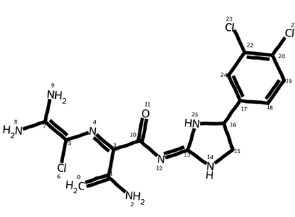 C=C(N)/C(=N\C(Cl)=C(N)N)C(=O)/N=C1/NCC(c2ccc(Cl)c(Cl)c2)N1